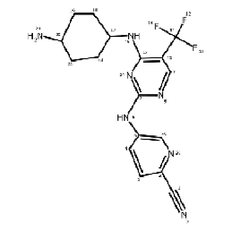 N#Cc1ccc(Nc2ncc(C(F)(F)F)c(NC3CCC(N)CC3)n2)cn1